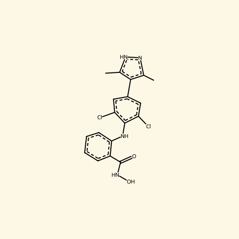 Cc1n[nH]c(C)c1-c1cc(Cl)c(Nc2ccccc2C(=O)NO)c(Cl)c1